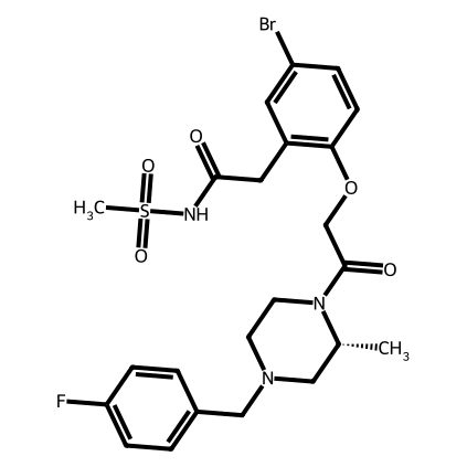 C[C@@H]1CN(Cc2ccc(F)cc2)CCN1C(=O)COc1ccc(Br)cc1CC(=O)NS(C)(=O)=O